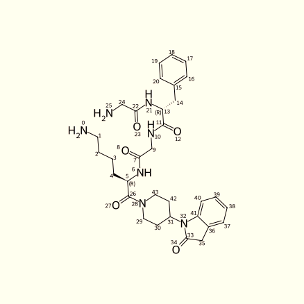 NCCCC[C@@H](NC(=O)CNC(=O)[C@@H](Cc1ccccc1)NC(=O)CN)C(=O)N1CCC(N2C(=O)Cc3ccccc32)CC1